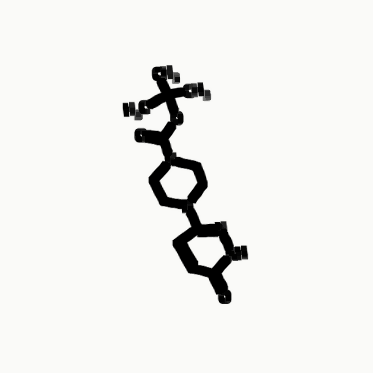 CC(C)(C)OC(=O)N1CCN(c2ccc(=O)[nH]n2)CC1